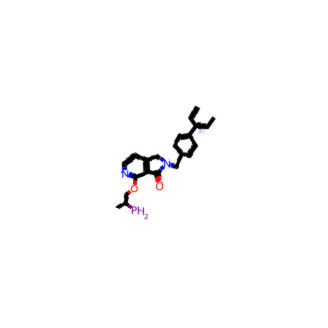 C=C/C(=C\C)c1ccc(CN2Cc3ccnc(OCC(C)P)c3C2=O)cc1